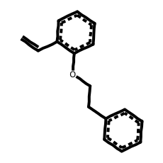 C=Cc1ccccc1OCCc1ccccc1